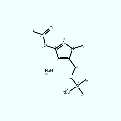 Cn1nc(OS(C)=O)cc1CO[Si](C)(C)C(C)(C)C.[NaH]